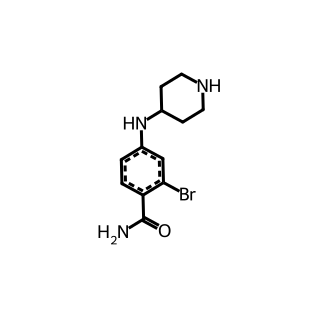 NC(=O)c1ccc(NC2CCNCC2)cc1Br